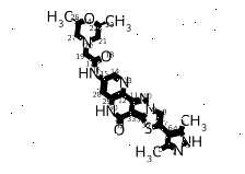 Cc1n[nH]c(C)c1-c1cn2nc3c4ncc(NC(=O)CN5C[C@H](C)O[C@@H](C)C5)cc4[nH]c(=O)c3c2s1